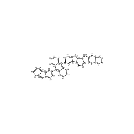 c1ccc2cc3c(cc2c1)sc1c3ccc2c3cc(-c4c5ccccc5c(-c5ccc6oc7ccccc7c6c5)c5ccccc45)ccc3sc21